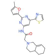 Cc1ccc(-c2nc(NC(=O)CN3CCC4CCCC=C4C3)cc(-c3nccs3)n2)o1